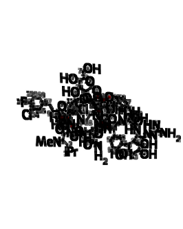 CN[C@H](CC(C)C)C(=O)N[C@H]1C(=O)N[C@@H](CC(N)=O)C(=O)N[C@H]2C(=O)N[C@H]3C(=O)N[C@H](C(=O)N[C@@H](C(=O)NNC(=N)N)c4cc(O)cc(O)c4-c4cc3ccc4O)[C@H](O)c3ccc(c(Cl)c3)Oc3cc2cc(c3O[C@@H]2O[C@H](CO)[C@@H](O)[C@H](O)[C@H]2O[C@H]2C[C@](C)(NCCn3ccc(NC(=O)/C=C/c4ccc(F)c(Cl)c4)nc3=O)[C@H](O)[C@H](C)O2)Oc2ccc(cc2Cl)[C@H]1O